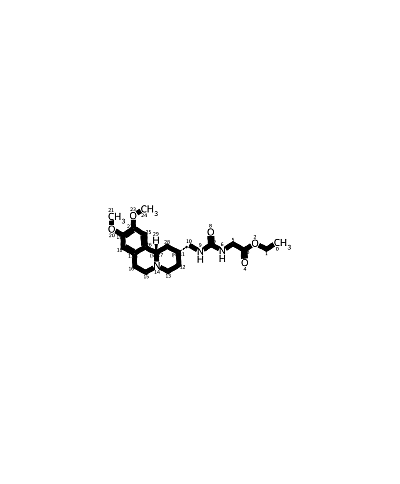 CCOC(=O)CNC(=O)NC[C@@H]1CCN2CCc3cc(OC)c(OC)cc3[C@@H]2C1